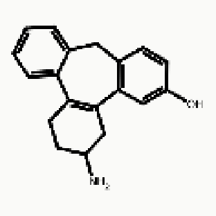 NC1CCC2=C(C1)c1cc(O)ccc1Cc1ccccc12